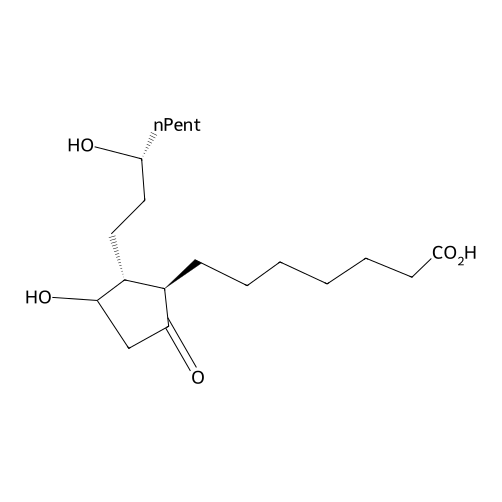 CCCCC[C@@H](O)CC[C@H]1C(O)CC(=O)[C@@H]1CCCCCCC(=O)O